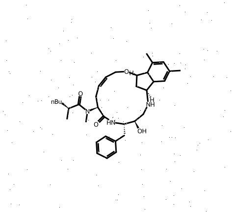 CCCC[C@H](C)C(=O)N(C)[C@H]1CC=CCO[C@@H]2C[C@H](NC[C@@H](O)[C@H](Cc3ccccc3)NC1=O)C1C=C(C)C=C(C)C12